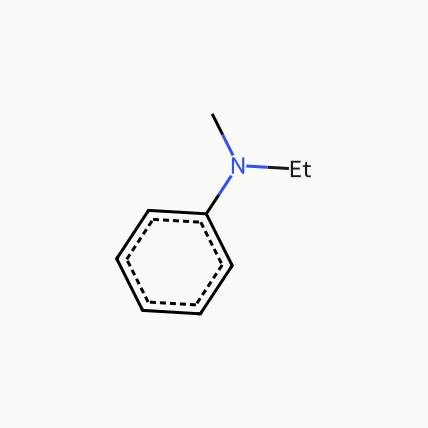 [CH2]CN(C)c1ccccc1